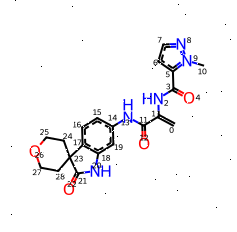 C=C(NC(=O)c1ccnn1C)C(=O)Nc1ccc2c(c1)NC(=O)C21CCOCC1